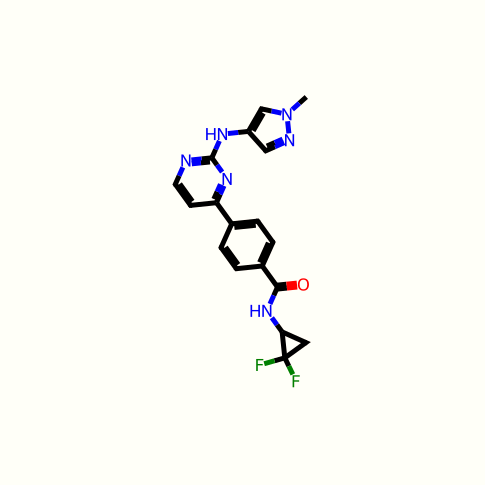 Cn1cc(Nc2nccc(-c3ccc(C(=O)NC4CC4(F)F)cc3)n2)cn1